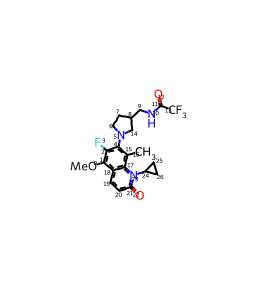 COc1c(F)c(N2CCC(CNC(=O)C(F)(F)F)C2)c(C)c2c1ccc(=O)n2C1CC1